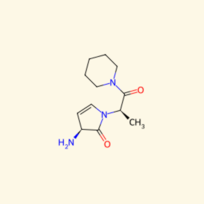 C[C@H](C(=O)N1CCCCC1)N1C=C[C@H](N)C1=O